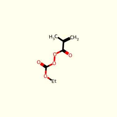 C=C(C)C(=O)OOC(=O)OCC